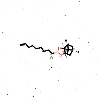 C=CCCCCCC[C@@H](Cl)B1O[C@@H]2C[C@@H]3C[C@@H](C3(C)C)[C@]2(C)O1